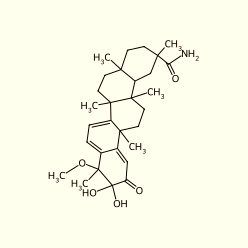 COC1(C)C2=CC=C3C(C)(CCC4(C)C5CC(C)(C(N)=O)CCC5(C)CCC34C)C2=CC(=O)C1(O)O